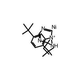 CCC12N=CN=C[N+]1(c1cc(C(C)(C)C)ccc1C(C)(C)C)N2.[Ni]